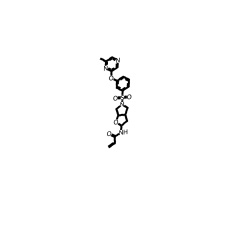 C=CC(=O)NC1CC2CN(S(=O)(=O)c3cccc(Oc4cncc(C)n4)c3)CC2O1